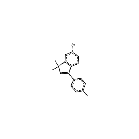 CC(=O)c1ccc2c(c1)C(C)(C)C=C2c1ccc(C)cc1